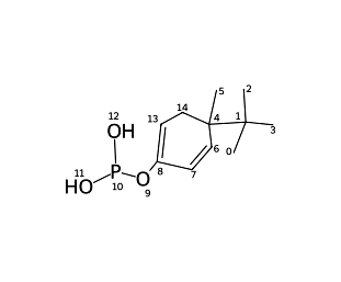 CC(C)(C)C1(C)C=CC(OP(O)O)=CC1